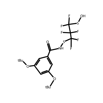 CC(C)(C)Oc1cc(OC(C)(C)C)cc(C(=O)NSC(F)(F)C(F)(F)C(F)(F)SO)c1